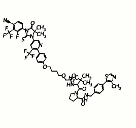 Cc1ncsc1-c1ccc(CNC(=O)C2CCCN2C(=O)C(NC(=O)COCCCCOc2ccc(-c3ncc(N4C(=S)N(c5ccc(C#N)c(C(F)(F)F)c5F)C(=O)C4(C)C)cc3C(F)(F)F)cc2)C(C)(C)C)cc1